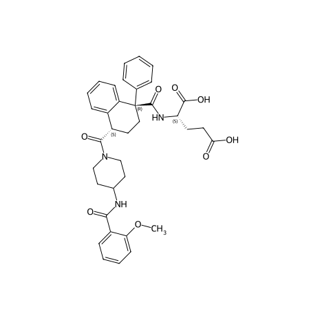 COc1ccccc1C(=O)NC1CCN(C(=O)[C@H]2CC[C@@](C(=O)N[C@@H](CCC(=O)O)C(=O)O)(c3ccccc3)c3ccccc32)CC1